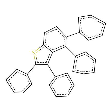 c1ccc(-c2ccc3sc(-c4ccccc4)c(-c4ccccc4)c3c2-c2ccccc2)cc1